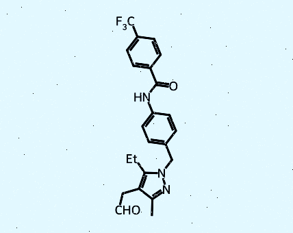 CCc1c(CC=O)c(C)nn1Cc1ccc(NC(=O)c2ccc(C(F)(F)F)cc2)cc1